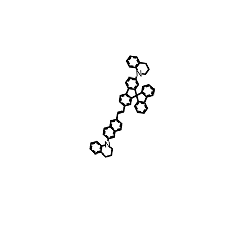 C(=C\c1ccc2cc(N3CCCc4ccccc43)ccc2c1)/c1ccc2c(c1)C1(c3ccccc3-c3ccccc31)c1cc(N3CCCc4ccccc43)ccc1-2